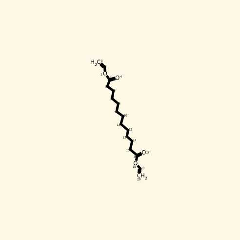 C=COC(=O)CCCCCCCCCCCC(=O)OC=C